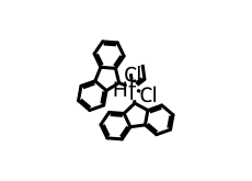 C[CH]=[Hf]([Cl])([Cl])([CH]1c2ccccc2-c2ccccc21)[CH]1c2ccccc2-c2ccccc21